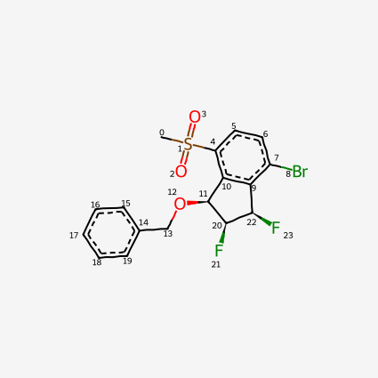 CS(=O)(=O)c1ccc(Br)c2c1[C@H](OCc1ccccc1)[C@H](F)[C@@H]2F